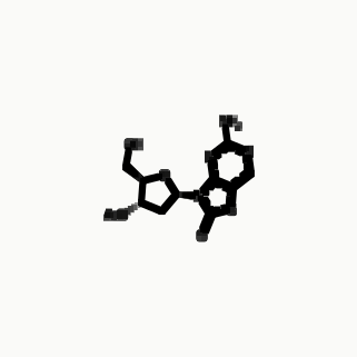 CC(=O)O[C@H]1C[C@H](n2c(=O)sc3cnc(N)nc32)O[C@@H]1CO